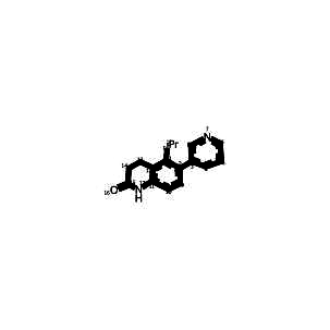 CC(C)c1c(-c2cccnc2)ccc2c1CCC(=O)N2